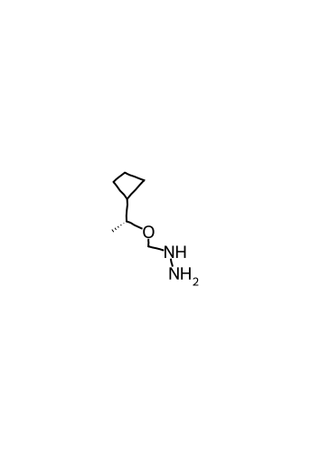 C[C@@H](OCNN)C1CCC1